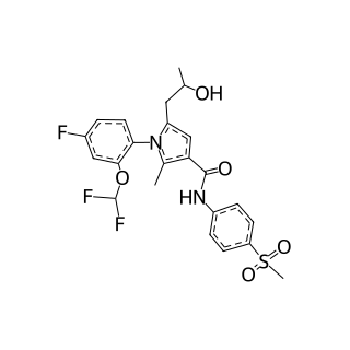 Cc1c(C(=O)Nc2ccc(S(C)(=O)=O)cc2)cc(CC(C)O)n1-c1ccc(F)cc1OC(F)F